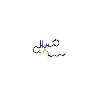 C=CCCC/C=C\CP(CC)/C(=N\CC1=CCCC=C1)NC1CCCCC1